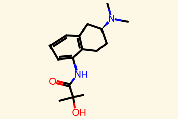 CN(C)[C@H]1CCc2c(cccc2NC(=O)C(C)(C)O)C1